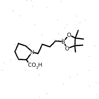 CC1(C)OB(CCCCN2CCCCC2C(=O)O)OC1(C)C